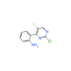 Nc1ccccc1-c1nc(Cl)ncc1F